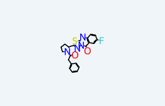 O=C(Cc1ccccc1)N1CCCC1c1nn2c(=O)c3cc(F)ccc3nc2s1